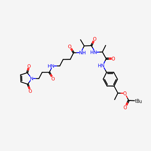 CC(NC(=O)CCCNC(=O)CCN1C(=O)C=CC1=O)C(=O)NC(C)C(=O)Nc1ccc(C(C)OC(=O)C(C)(C)C)cc1